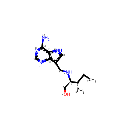 CC[C@H](C)[C@@H](CO)NCc1c[nH]c2c(N)ncnc12